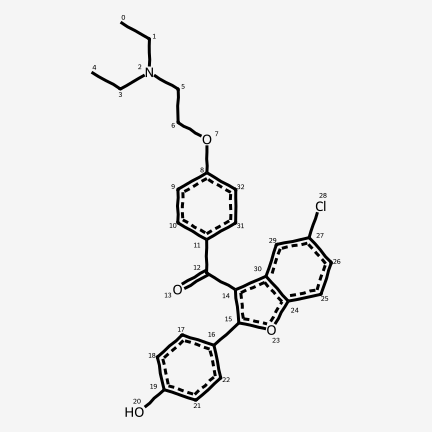 CCN(CC)CCOc1ccc(C(=O)c2c(-c3ccc(O)cc3)oc3ccc(Cl)cc23)cc1